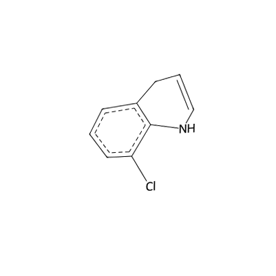 Clc1cccc2c1NC=CC2